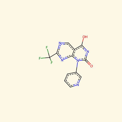 O=c1nc(O)c2cnc(C(F)(F)F)nc2n1-c1cccnc1